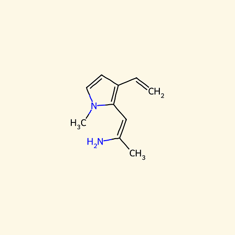 C=Cc1ccn(C)c1/C=C(/C)N